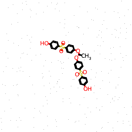 CC(Oc1ccc(S(=O)(=O)c2ccc(O)cc2)cc1)Oc1ccc(S(=O)(=O)c2ccc(O)cc2)cc1